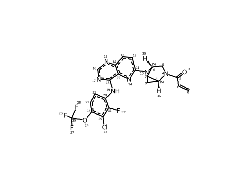 C=CC(=O)N1C[C@@H]2C[C@H]1CN2c1ccc2ncnc(Nc3ccc(OC(F)(F)F)c(Cl)c3F)c2n1